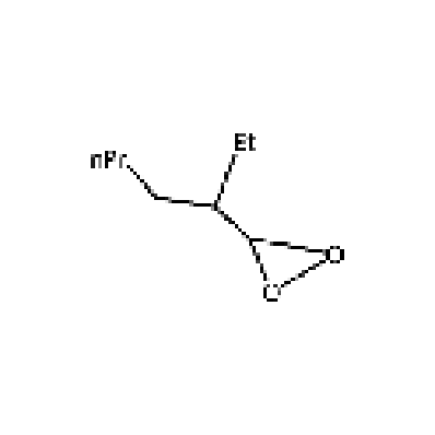 CCCCC(CC)C1OO1